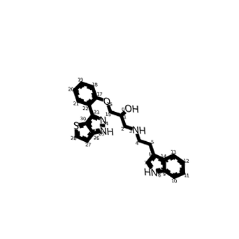 OC(CNCCc1c[nH]c2ccccc12)COc1ccccc1-c1n[nH]c2ccsc12